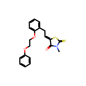 CN1C(=O)/C(=C/Cc2ccccc2OCCOc2ccccc2)SC1=S